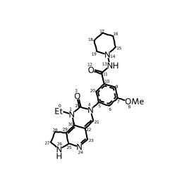 CCN1C(=O)N(c2cc(OC)cc(C(=O)NN3CCCCC3)c2)C=C2C=NC3NCCC3=C21